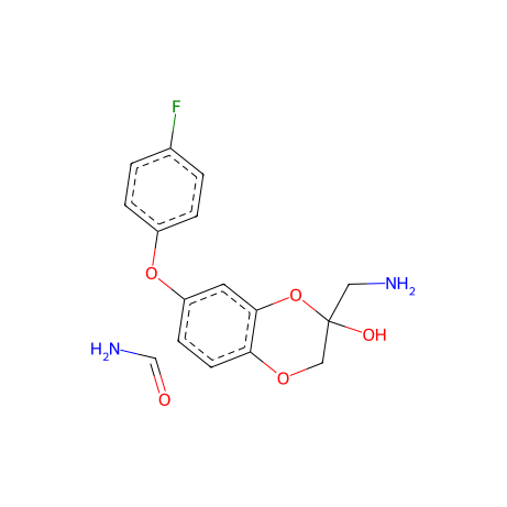 NC=O.NCC1(O)COc2ccc(Oc3ccc(F)cc3)cc2O1